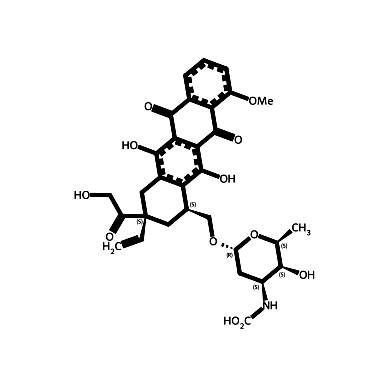 C=C[C@@]1(C(=O)CO)Cc2c(O)c3c(c(O)c2[C@@H](CO[C@H]2C[C@H](NC(=O)O)[C@H](O)[C@H](C)O2)C1)C(=O)c1c(OC)cccc1C3=O